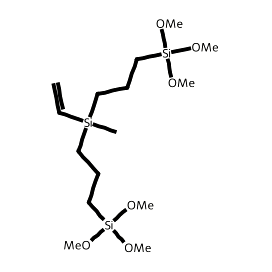 C=C[Si](C)(CCC[Si](OC)(OC)OC)CCC[Si](OC)(OC)OC